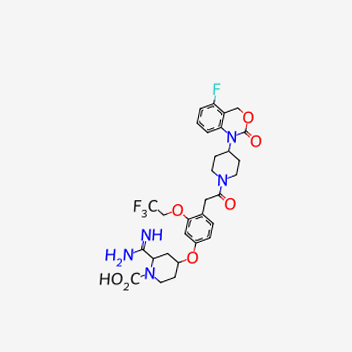 N=C(N)C1CC(Oc2ccc(CC(=O)N3CCC(N4C(=O)OCc5c(F)cccc54)CC3)c(OCC(F)(F)F)c2)CCN1C(=O)O